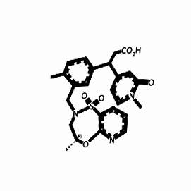 Cc1ccc(C(CC(=O)O)c2ccn(C)c(=O)c2)cc1CN1C[C@@H](C)Oc2ncccc2S1(=O)=O